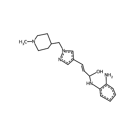 CN1CCC(Cn2cc(/C=C/C(O)Nc3ccccc3N)cn2)CC1